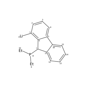 [Li][c]1cccc2c1C(P(CC)CC)c1ccccc1-2